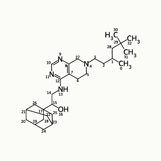 CC(CCN1CCc2c(ncnc2NCC(O)C23CC4CC(CC(C4)C2)C3)C1)CC(C)(C)C